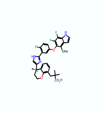 CSc1c(Oc2ccc(F)c(-c3nc([C@@]4(C)CCOc5c(CC(C)(C)C(=O)O)cccc54)c[nH]3)c2)c(F)c(F)c2[nH]ccc12